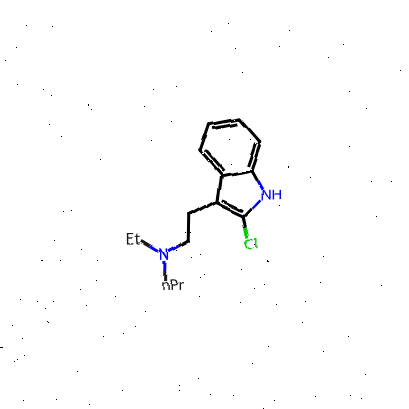 CCCN(CC)CCc1c(Cl)[nH]c2ccccc12